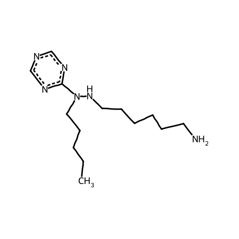 CCCCCN(NCCCCCCN)c1ncncn1